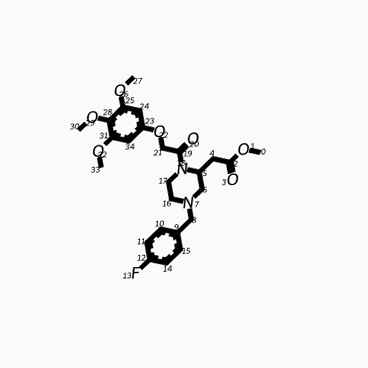 COC(=O)CC1CN(Cc2ccc(F)cc2)CCN1C(=O)COc1cc(OC)c(OC)c(OC)c1